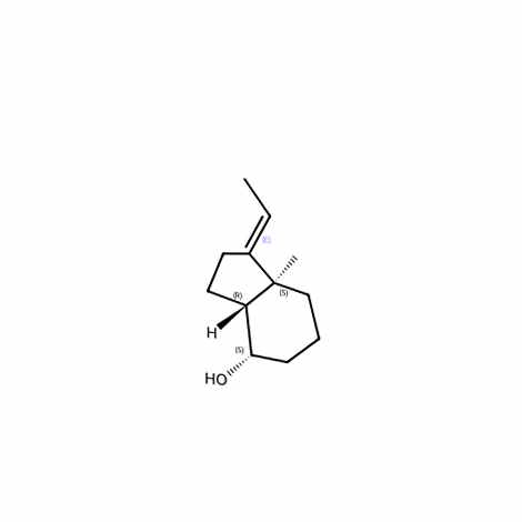 C/C=C1\CC[C@H]2[C@@H](O)CCC[C@]12C